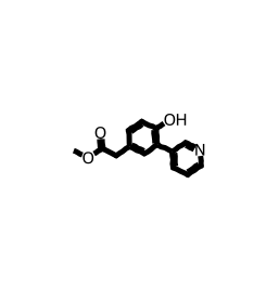 COC(=O)Cc1ccc(O)c(-c2cccnc2)c1